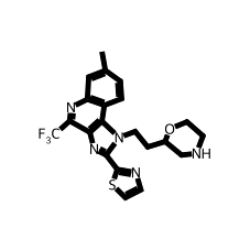 Cc1ccc2c(c1)nc(C(F)(F)F)c1nc(-c3nccs3)n(CCC3CNCCO3)c12